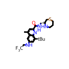 Cc1cc(C(=O)NC[C@@H]2CSCCCN2)nc2c(C(C)(C)C)cc(NCC(F)(F)F)cc12